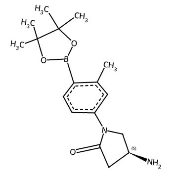 Cc1cc(N2C[C@@H](N)CC2=O)ccc1B1OC(C)(C)C(C)(C)O1